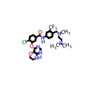 CN(C)CCN(C)Cc1ccc(NC(=O)c2ccc(Cl)c(Oc3ncnc4c3OCCN4)c2)cc1C(F)(F)F